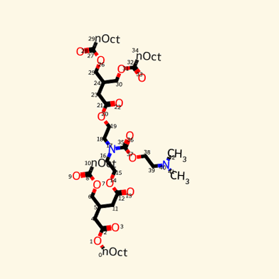 CCCCCCCCOC(=O)CC(COC(=O)CCCCCCCC)CC(=O)OCCN(CCOC(=O)CC(COC(=O)CCCCCCCC)COC(=O)CCCCCCCC)C(=O)OCCN(C)C